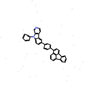 c1ccc(-n2c3ccc(-c4ccc(-c5ccc6c7c(cccc57)-c5ccccc5-6)cc4)cc3c3ccncc32)cc1